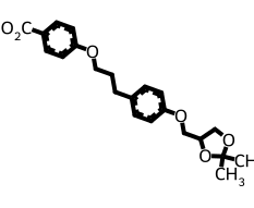 CC1(C)OCC(COc2ccc(CCCOc3ccc(C(=O)O)cc3)cc2)O1